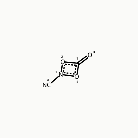 N#Cn1oc(=O)o1